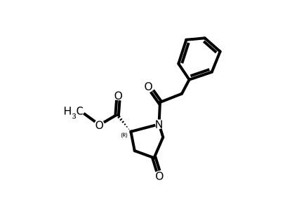 COC(=O)[C@H]1CC(=O)CN1C(=O)Cc1ccccc1